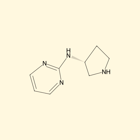 c1cnc(N[C@@H]2CCNC2)nc1